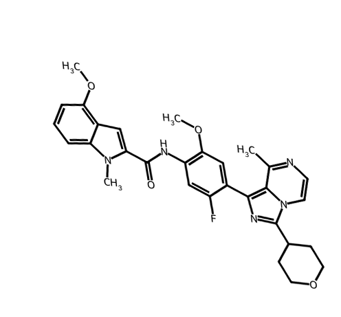 COc1cc(-c2nc(C3CCOCC3)n3ccnc(C)c23)c(F)cc1NC(=O)c1cc2c(OC)cccc2n1C